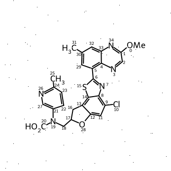 COc1cnc2c(-c3nc4c(Cl)cc5c(c4s3)CC(CN(C(=O)O)c3ccc(C)nc3)O5)cc(C)cc2n1